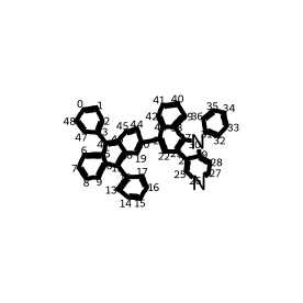 c1ccc(-c2c3ccccc3c(-c3ccccc3)c3cc(-c4cc5c6cnccc6n(-c6ccccc6)c5c5ccccc45)ccc23)cc1